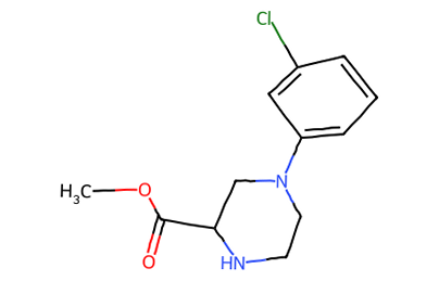 COC(=O)C1CN(c2cccc(Cl)c2)CCN1